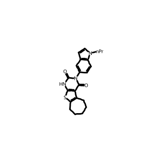 CCCn1ccc2cc(-n3c(=O)[nH]c4sc5c(c4c3=O)CCCCC5)ccc21